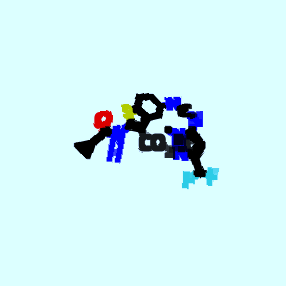 CCOC(=O)c1c(NC(=O)C2CC2)sc2c1CC(N=C=Nc1cc(C(F)F)nn1C)CC2